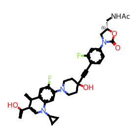 C=C(O)C1=CN(C2CC2)c2cc(N3CCC(O)(C#Cc4ccc(N5C[C@H](CNC(C)=O)OC5=O)cc4F)CC3)c(F)cc2C1=C